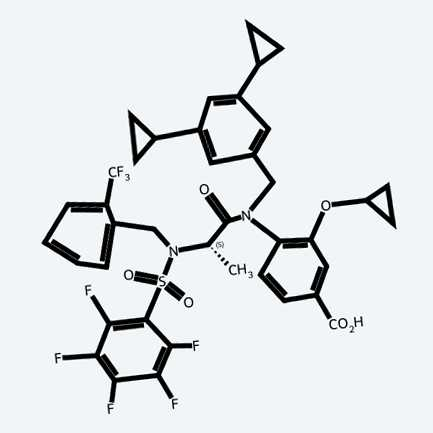 C[C@@H](C(=O)N(Cc1cc(C2CC2)cc(C2CC2)c1)c1ccc(C(=O)O)cc1OC1CC1)N(Cc1ccccc1C(F)(F)F)S(=O)(=O)c1c(F)c(F)c(F)c(F)c1F